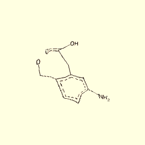 Nc1ccc(C[O])c(C(=O)O)c1